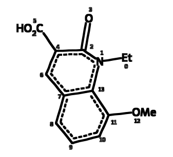 CCn1c(=O)c(C(=O)O)cc2cccc(OC)c21